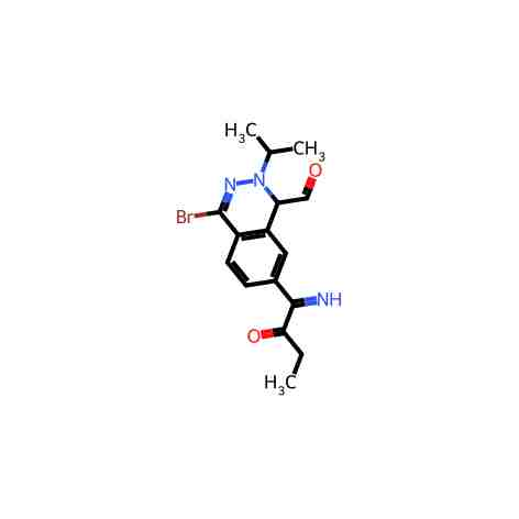 CCC(=O)C(=N)c1ccc2c(c1)C(C=O)N(C(C)C)N=C2Br